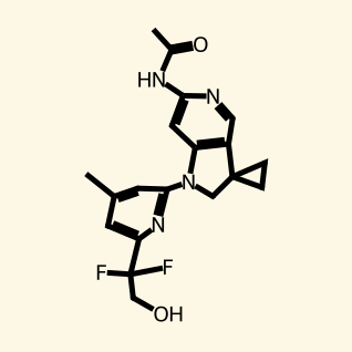 CC(=O)Nc1cc2c(cn1)C1(CC1)CN2c1cc(C)cc(C(F)(F)CO)n1